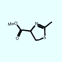 COC(=O)C1CSC(C)=N1